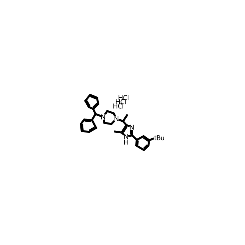 Cc1[nH]c(-c2cccc(C(C)(C)C)c2)nc1C(C)N1CCN(C(c2ccccc2)c2ccccc2)CC1.Cl.Cl.Cl